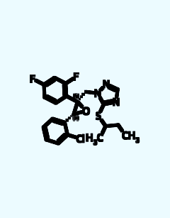 CCC(C)Sc1ncnn1C[C@]1(c2ccc(F)cc2F)O[C@@H]1c1ccccc1Cl